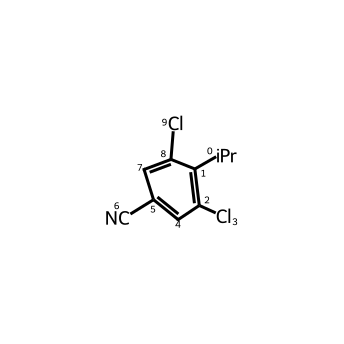 CC(C)c1c(Cl)cc(C#N)cc1Cl